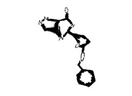 O=C1N=C(c2ccc(OCc3ccccc3)o2)N=C2C=NN=C12